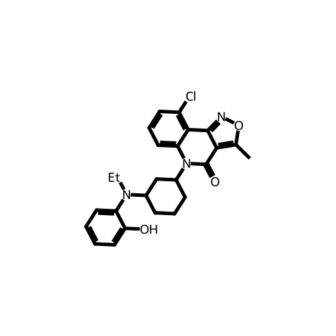 CCN(c1ccccc1O)C1CCCC(n2c(=O)c3c(C)onc3c3c(Cl)cccc32)C1